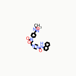 Cc1nc(-c2ccc(N3CC(CN4CCN(C(=O)Nc5cccc6ccccc56)CC4)OC3=O)cc2)no1